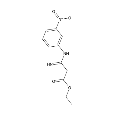 CCOC(=O)CC(=N)Nc1cccc([N+](=O)[O-])c1